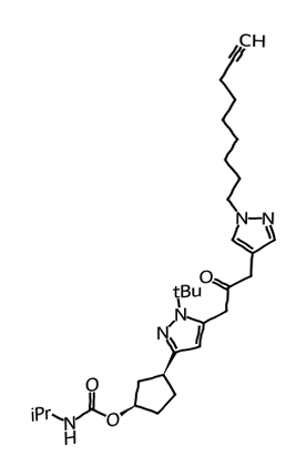 C#CCCCCCCCn1cc(CC(=O)Cc2cc([C@H]3CC[C@@H](OC(=O)NC(C)C)C3)nn2C(C)(C)C)cn1